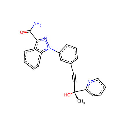 C[C@@](O)(C#Cc1cccc(-n2nc(C(N)=O)c3ccccc32)c1)c1ccccn1